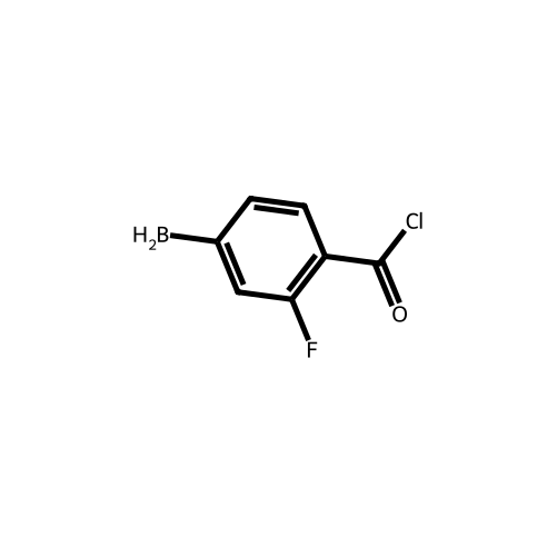 Bc1ccc(C(=O)Cl)c(F)c1